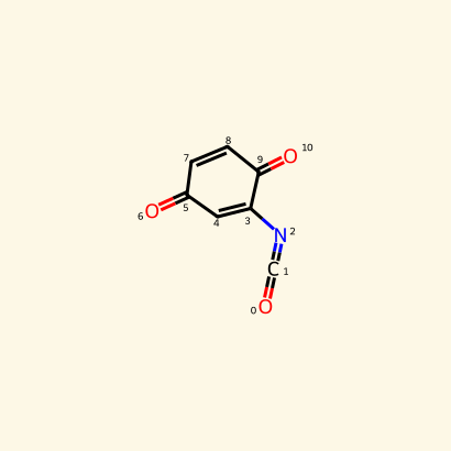 O=C=NC1=CC(=O)C=CC1=O